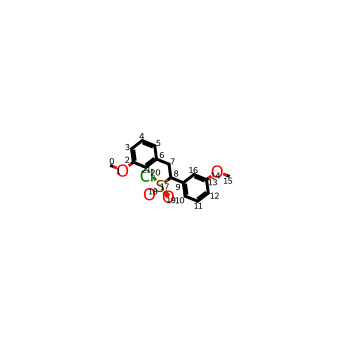 COc1cccc(CC(c2cccc(OC)c2)S(=O)(=O)Cl)c1